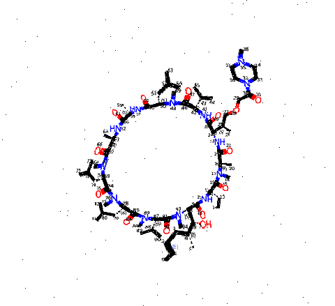 C/C=C/C[C@@H](C)[C@@H](O)[C@H]1C(=O)N[C@@H](CC)C(=O)N(C)[C@H](C)C(=O)N[C@@H]([C@H](C)COCC(=O)N2CCN(C)CC2)C(=O)N[C@@H](C(C)C)C(=O)N(C)[C@@H](CC(C)C)C(=O)N[C@@H](C)C(=O)N[C@H](C)C(=O)N(C)[C@@H](CC(C)C)C(=O)N(C)[C@@H](CC(C)C)C(=O)N(C)[C@@H](C(C)C)C(=O)N1C